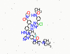 C=CC(=O)Nc1cccc(-c2nc(Nc3ccc(C(=O)N4CCOCC4)cc3-c3ccc(Nc4nc5cc(F)c(N(C)C(=O)/C=C/CN(C)C)cc5n5cncc45)c(C)c3)ncc2Cl)c1